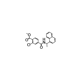 COC(=O)c1ccc(C(=O)NC(C)c2cccc3ccccc23)cc1Cl